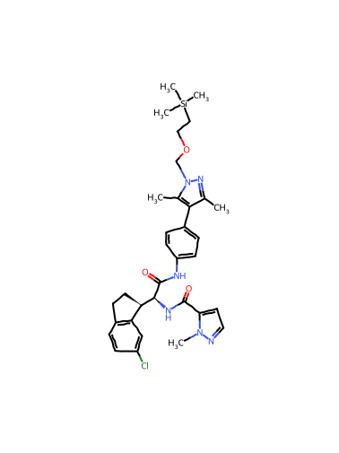 Cc1nn(COCC[Si](C)(C)C)c(C)c1-c1ccc(NC(=O)[C@@H](NC(=O)c2ccnn2C)[C@@H]2CCc3ccc(Cl)cc32)cc1